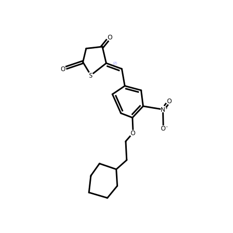 O=C1CC(=O)/C(=C/c2ccc(OCCC3CCCCC3)c([N+](=O)[O-])c2)S1